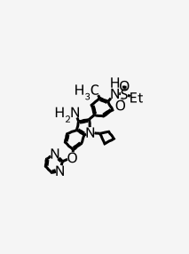 CCS(=O)(=O)Nc1ccc(-c2c(N)c3ccc(Oc4ncccn4)cc3n2C2CCC2)cc1C